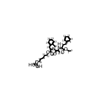 CCOC(=O)C(CCc1ccccc1)NC(C)C(=O)N1Cc2ccccc2CC1C(=O)OCCCCCON(O)O